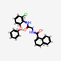 O=C(CNC(=O)c1cccc2ccccc12)Nc1c(Cl)cccc1Oc1ccccc1